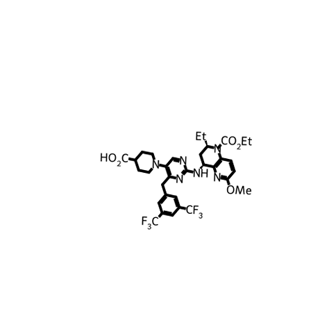 CCOC(=O)N1c2ccc(OC)nc2[C@@H](Nc2ncc(N3CCC(C(=O)O)CC3)c(Cc3cc(C(F)(F)F)cc(C(F)(F)F)c3)n2)C[C@H]1CC